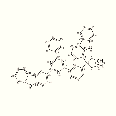 CCC1(CC)c2cccc(-c3nc(-c4ccccc4)nc(-c4ccc5oc6ccccc6c5c4)n3)c2-c2ccc3c(oc4ccccc43)c21